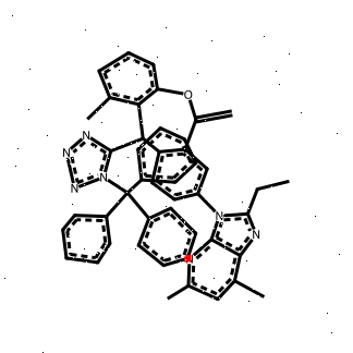 C=C1Oc2cccc(C)c2C(c2nnnn2C(c2ccccc2)(c2ccccc2)c2ccccc2)c2ccc(-n3c(CC)nc4c(C)cc(C)nc43)cc21